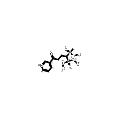 CCOP(C)(=O)C(CCC(=O)c1cccnc1)P(=O)(OCC)OCC